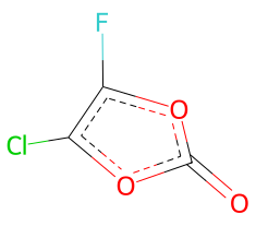 O=c1oc(F)c(Cl)o1